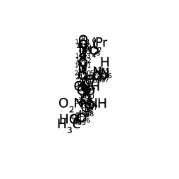 CC(C)c1ccccc1[C@H]1COCCN1C1CC2(CCN(c3ccc(C(=O)NS(=O)(=O)c4cc5c(c([N+](=O)[O-])c4)O[C@@H](CC4CCC(C)(O)CC4)CN5)c(Oc4cnc5[nH]ccc5c4)c3)CC2)C1